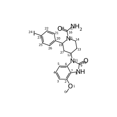 COc1cccc2c1[nH]c(=O)n2C1CCN(C(N)=O)C(c2ccc(I)cc2)C1